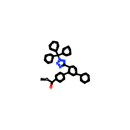 COC(=O)c1ccc(-c2cc(-c3ccccc3)ccc2-c2nnn(C(c3ccccc3)(c3ccccc3)c3ccccc3)n2)cc1